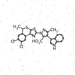 Cc1nn(-c2nc3c(s2)SC(C)c2cc(Cl)c(Cl)cc2-3)c(C(=O)O)c1-c1c[nH]c2ccccc12